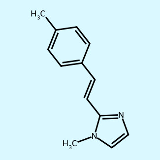 Cc1ccc(/C=C/c2nccn2C)cc1